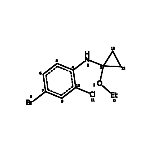 CCOC1(Nc2ccc(Br)cc2Cl)CC1